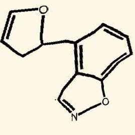 [c]1noc2cccc(C3CC=CO3)c12